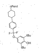 CCCCCC1CCC(c2ccc(C(F)(F)Oc3cc(C(C)(C)C)c(O)c(C(C)(C)C)c3)cc2)CC1